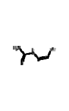 CCC/C=N\NC(N)=S